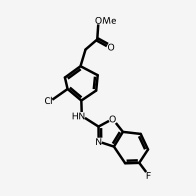 COC(=O)Cc1ccc(Nc2nc3cc(F)ccc3o2)c(Cl)c1